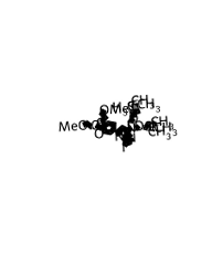 COCCOC(=O)[C@]1(OCCOC)CC[C@@H](c2cc(N(COCC[Si](C)(C)C)COCC[Si](C)(C)C)n3ncc(I)c3n2)CC1